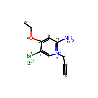 C#CC[n+]1cc(Br)c(OCC)cc1N.[Br-]